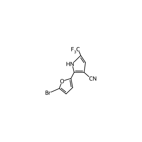 N#Cc1cc(C(F)(F)F)[nH]c1-c1ccc(Br)o1